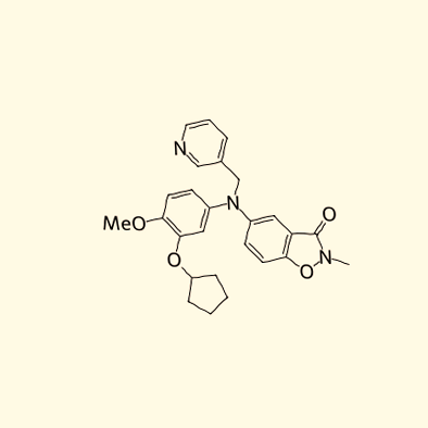 COc1ccc(N(Cc2cccnc2)c2ccc3on(C)c(=O)c3c2)cc1OC1CCCC1